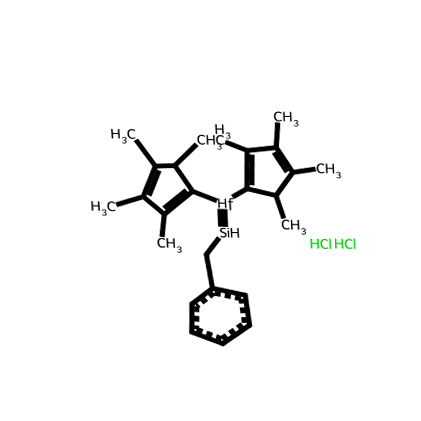 CC1=C(C)C(C)[C]([Hf](=[SiH]Cc2ccccc2)[C]2=C(C)C(C)=C(C)C2C)=C1C.Cl.Cl